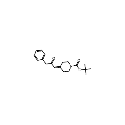 CC(C)(C)OC(=O)N1CCC(=CC(=O)Cc2ccccc2)CC1